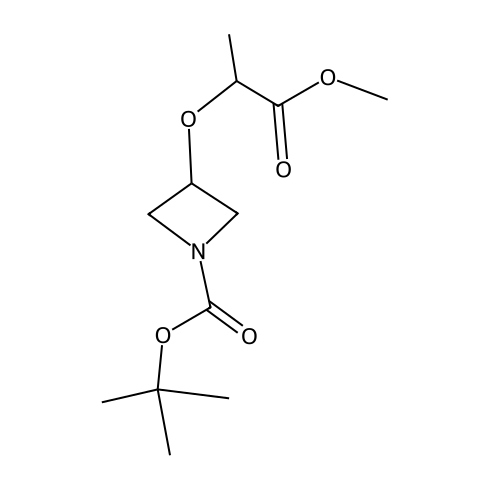 COC(=O)C(C)OC1CN(C(=O)OC(C)(C)C)C1